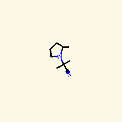 CC1CCCN1C(C)(C)C#N